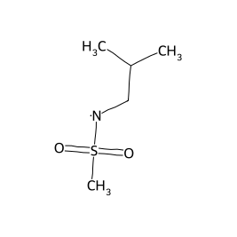 CC(C)C[N]S(C)(=O)=O